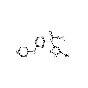 CC(C)c1cc(N(C(N)=O)c2cccc(Sc3ccncc3)c2)on1